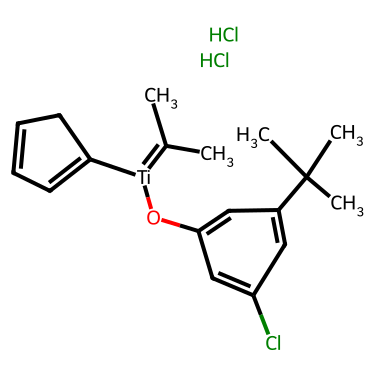 C[C](C)=[Ti]([O]c1cc(Cl)cc(C(C)(C)C)c1)[C]1=CC=CC1.Cl.Cl